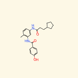 Cc1ccc(NC(=O)CCC2CCCC2)cc1NC(=O)c1ccc(O)cc1